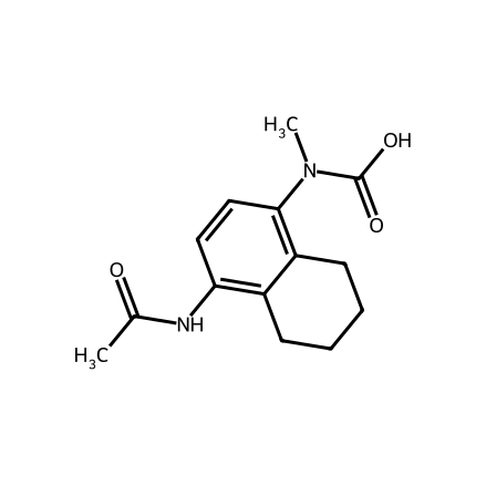 CC(=O)Nc1ccc(N(C)C(=O)O)c2c1CCCC2